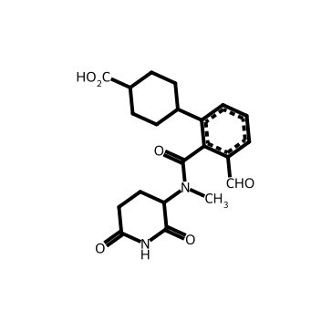 CN(C(=O)c1c(C=O)cccc1C1CCC(C(=O)O)CC1)C1CCC(=O)NC1=O